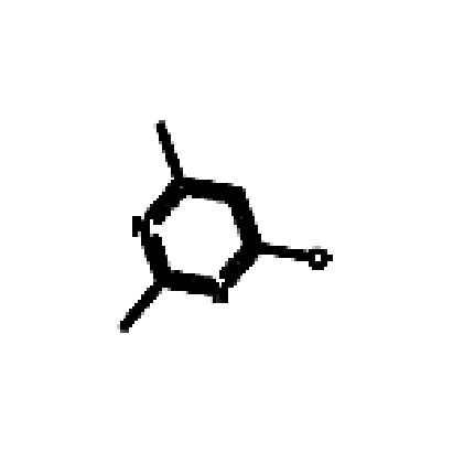 Cc1cc([O])nc(C)n1